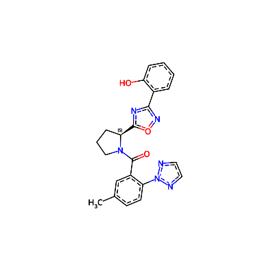 Cc1ccc(-n2nccn2)c(C(=O)N2CCC[C@H]2c2nc(-c3ccccc3O)no2)c1